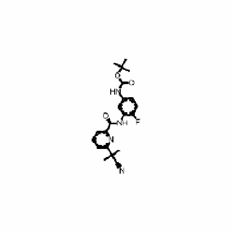 CC(C)(C)OC(=O)Nc1ccc(F)c(NC(=O)c2cccc(C(C)(C)C#N)n2)c1